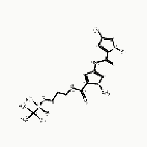 Cn1cc(NC(=O)c2cc(N)cn2C)cc1C(=O)NCCCO[Si](C)(C)C(C)(C)C